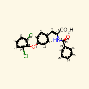 O=C(O)C(=Cc1ccc(Oc2c(Cl)cccc2Cl)cc1)NC(=O)c1ccccc1